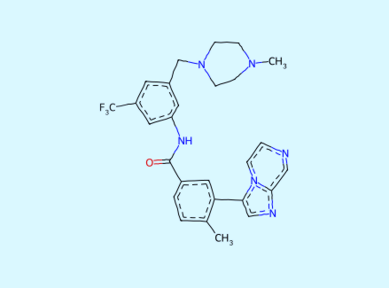 Cc1ccc(C(=O)Nc2cc(CN3CCN(C)CC3)cc(C(F)(F)F)c2)cc1-c1cnc2cnccn12